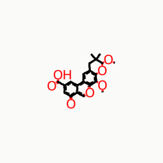 COc1c2c(cc3c4cc(C(=O)O)cc(=O)c-4coc13)CC(C)(C)C(OC)O2